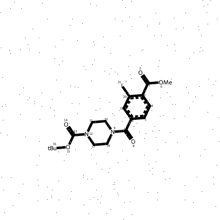 COC(=O)c1ccc(C(=O)N2CCN(C(=O)OC(C)(C)C)CC2)cc1I